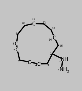 NNC1CCCCCCCCCCCCC1